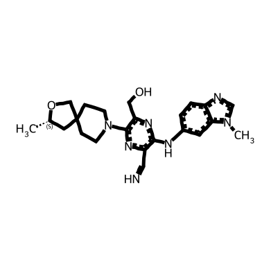 C[C@H]1CC2(CCN(c3nc(C=N)c(Nc4ccc5ncn(C)c5c4)nc3CO)CC2)CO1